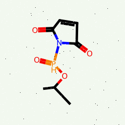 CC(C)O[PH](=O)N1C(=O)C=CC1=O